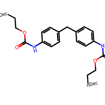 CCCCCCCCCCCCOC(=O)Nc1ccc(Cc2ccc(NC(=O)OCCCCCCCCCCCC)cc2)cc1